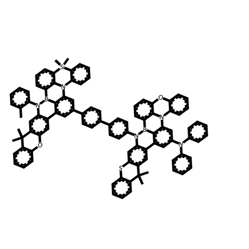 Cc1ccccc1N1B2c3cccc4c3N(c3ccccc3[Si]4(C)C)c3cc(-c4ccc(-c5ccc(N6B7c8cccc9c8N(c8ccccc8O9)c8cc(N(c9ccccc9)c9ccccc9)cc(c87)-c7cc8c(cc76)Sc6ccccc6C8(C)C)cc5)cc4)cc(c32)-c2cc3c(cc21)C(C)(C)c1ccccc1O3